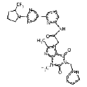 Cc1nc2c(c(=O)n(Cc3ccccn3)c(=O)n2C)n1CC(=O)Nc1cccc(-c2cnc(N3CCCC3C(F)(F)F)nc2)n1